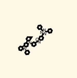 C1=c2ccc3c4cc5c6ccccc6n(-c6ccccc6)c5cc4n(-c4cccc(-c5nc6ccc(-c7nc(-c8ccccc8)nc(-c8ccccc8)n7)cc6o5)c4)c3c2=1